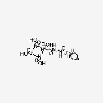 O=C(O)CN1CCN(CC(=O)O)CCN(C(CCC(=O)NCCNC(=O)OC[C@@H]2[C@@H]3CCC4=CC4CC[C@@H]32)C(=O)O)CCN(CC(=O)O)CC1